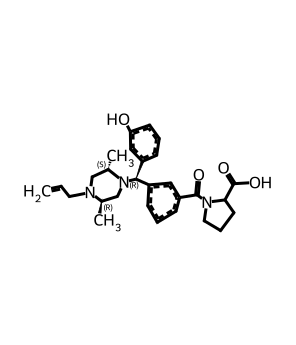 C=CCN1C[C@H](C)N([C@@H](c2cccc(O)c2)c2cccc(C(=O)N3CCCC3C(=O)O)c2)C[C@H]1C